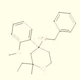 CCC1(C)CC(NCc2ccccc2)(c2ccccc2OC)CCO1